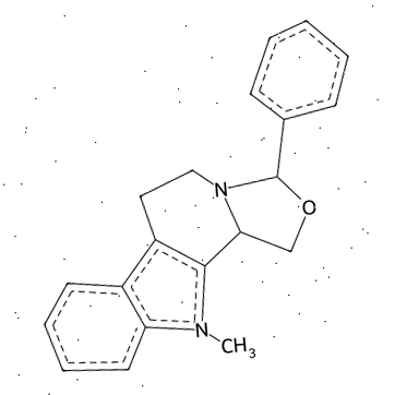 Cn1c2c(c3ccccc31)CCN1C2COC1c1ccccc1